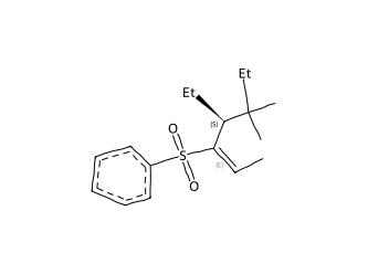 C/C=C(\[C@@H](CC)C(C)(C)CC)S(=O)(=O)c1ccccc1